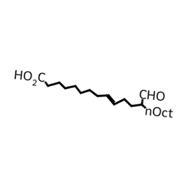 CCCCCCCCC(C=O)CC/C=C/CCCCCCCC(=O)O